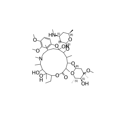 CCC1OC(=O)C(C)C(O[C@H]2C[C@@](C)(OC)[C@@H](O)[C@H](C)O2)C(C)C(O[C@@H]2O[C@H](C)C[C@H](NC)[C@H]2Oc2ccc(OC)c(OC)c2)C(C)(O)CC(C)CN(C)C(C)C(O)C1(C)O